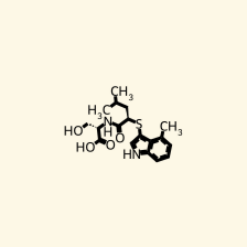 Cc1cccc2[nH]cc(S[C@H](CC(C)C)C(=O)N[C@@H](CO)C(=O)O)c12